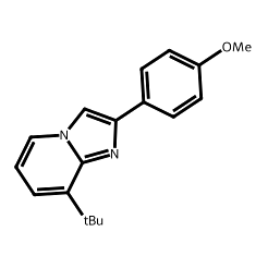 COc1ccc(-c2cn3cccc(C(C)(C)C)c3n2)cc1